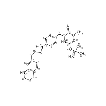 COC(=O)[C@H](Cc1ccc(N2CC(Cc3ccc4c(n3)NCCC4)C2)cc1)NC(=O)OC(C)(C)C